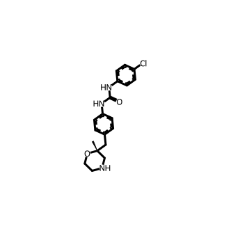 C[C@@]1(Cc2ccc(NC(=O)Nc3ccc(Cl)cc3)cc2)CNCCO1